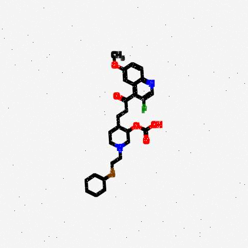 COc1ccc2ncc(F)c(C(=O)CCC3CCN(CCSC4CCCCC4)CC3OC(=O)O)c2c1